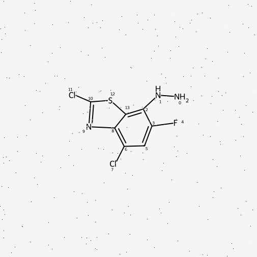 NNc1c(F)cc(Cl)c2nc(Cl)sc12